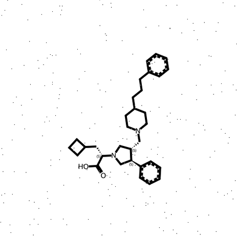 O=C(O)[C@H](CC1CCC1)N1C[C@H](CN2CCC(CCCc3ccccc3)CC2)[C@@H](c2ccccc2)C1